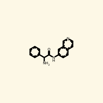 NC(C(=O)Nc1ccc2ccncc2c1)c1ccccc1